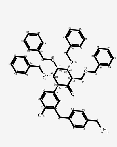 CCc1ccc(Cc2cc([C@@H]3C(=O)[C@H](COCc4ccccc4)[C@@H](OCc4ccccc4)[C@H](OCc4ccccc4)[C@H]3OCc3ccccc3)ccc2Cl)cc1